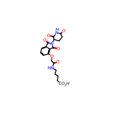 O=C(O)CCCCNC(=O)COc1cccc2c1C(=O)N(C1CCC(=O)NC1=O)C2=O